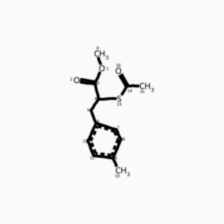 COC(=O)C(Cc1ccc(C)cc1)SC(C)=O